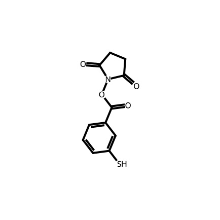 O=C(ON1C(=O)CCC1=O)c1cccc(S)c1